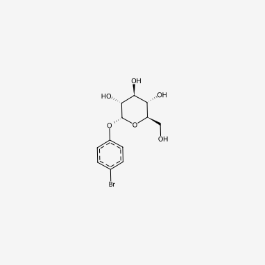 OC[C@H]1O[C@H](Oc2ccc(Br)cc2)[C@H](O)[C@@H](O)[C@@H]1O